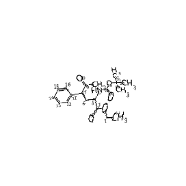 CCOC(=O)C(CC(C(C)=O)c1ccccc1)NC(=O)OC(C)(C)C